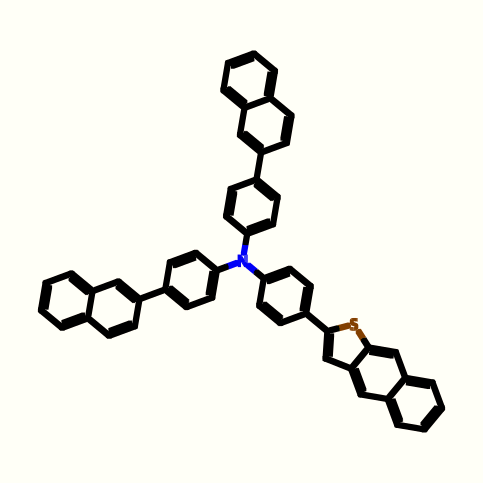 c1ccc2cc(-c3ccc(N(c4ccc(-c5ccc6ccccc6c5)cc4)c4ccc(-c5cc6cc7ccccc7cc6s5)cc4)cc3)ccc2c1